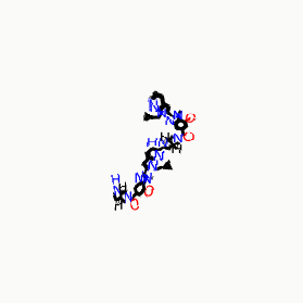 COc1cc(C(=O)N2C[C@@H]3CC(c4ccc5cc(-c6nc7cc(C(=O)N8C[C@H]9CCN[C@H]9C8)cc(OC)c7n6C)n(CC6CC6)c5n4)N[C@@H]3C2)cc2nc(-c3cc4cccnc4n3CC3CC3)n(C)c12